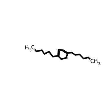 CCCCCCC1=[C]C=C(CCCCCC)[C]C1